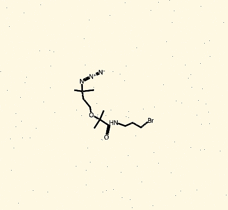 CC(C)(CCOC(C)(C)C(=O)NCCCBr)N=[N+]=[N-]